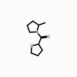 CC1CCCN1C(=O)C1CCCO1